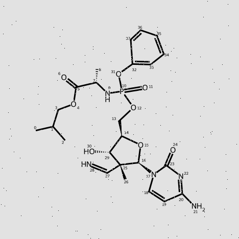 CC(C)COC(=O)[C@H](C)NP(=O)(OC[C@H]1O[C@@H](n2ccc(N)nc2=O)[C@](C)(C=N)[C@@H]1O)Oc1ccccc1